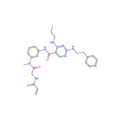 C=CC(=O)NCC(=O)N(C)c1cccc(NC(=O)c2cnc(NCCc3ccncc3)nc2NCCC)c1